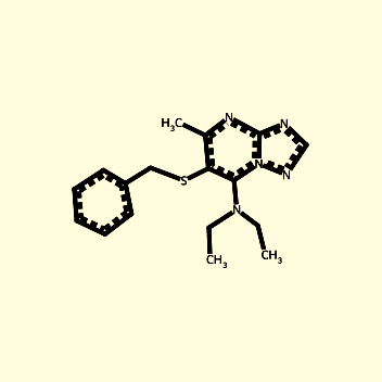 CCN(CC)c1c(SCc2ccccc2)c(C)nc2ncnn12